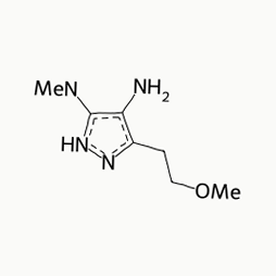 CNc1[nH]nc(CCOC)c1N